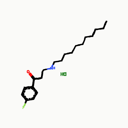 CCCCCCCCCCCNCCC(=O)c1ccc(F)cc1.Cl